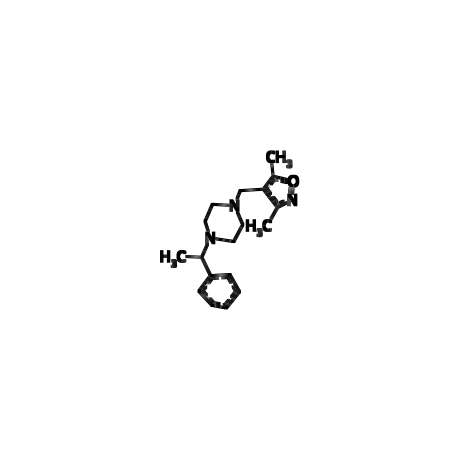 Cc1noc(C)c1CN1CCN(C(C)c2ccccc2)CC1